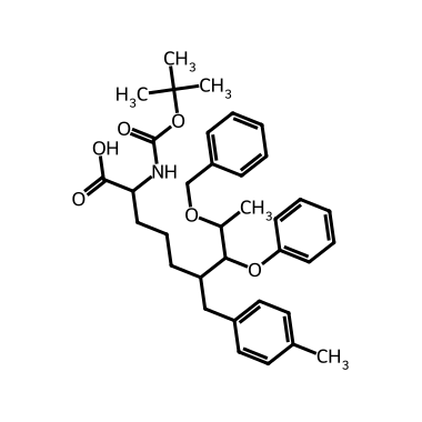 Cc1ccc(CC(CCCC(NC(=O)OC(C)(C)C)C(=O)O)C(Oc2ccccc2)C(C)OCc2ccccc2)cc1